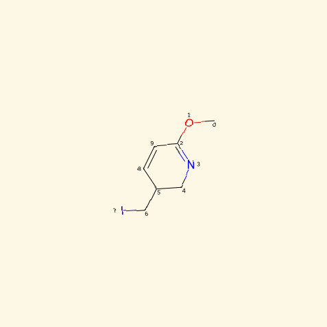 COC1=NCC(CI)C=C1